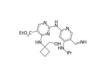 CCOC(=O)c1cnc(Nc2cc(NC(C)C)c(C=N)cn2)nc1NC1(CO)CCC1